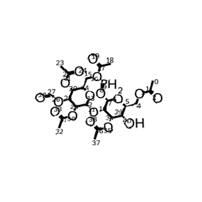 CC(=O)OC[C@@H]1O[C@H](OP)[C@@H](O[C@H]2O[C@H](COC(C)=O)[C@@H](OC(C)=O)[C@H](OC=O)[C@@H]2OC(C)=O)[C@@H](OC(C)=O)[C@@H]1O